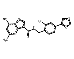 Cc1cc(C#N)n2ncc(C(=O)NCc3ccc(-c4cnco4)cc3C)c2n1